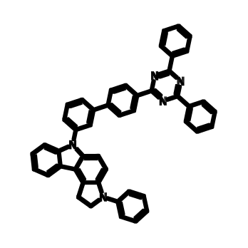 c1ccc(-c2nc(-c3ccccc3)nc(-c3ccc(-c4cccc(-n5c6ccccc6c6c7c(ccc65)N(c5ccccc5)CC7)c4)cc3)n2)cc1